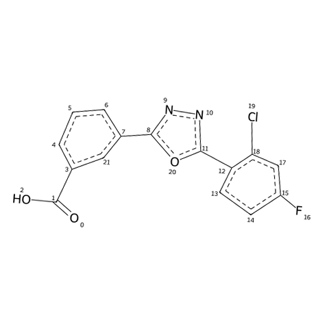 O=C(O)c1cccc(-c2nnc(-c3ccc(F)cc3Cl)o2)c1